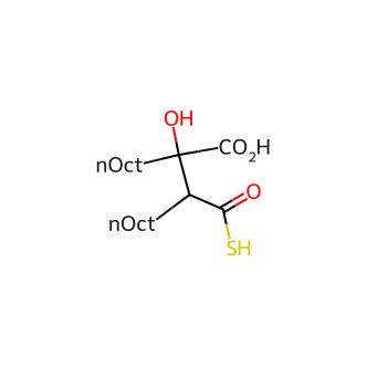 CCCCCCCCC(C(=O)S)C(O)(CCCCCCCC)C(=O)O